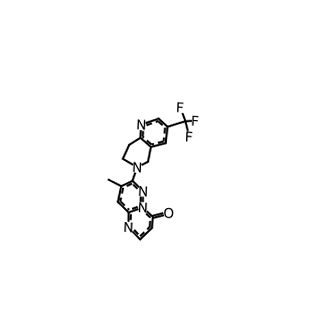 Cc1cc2nccc(=O)n2nc1N1CCc2ncc(C(F)(F)F)cc2C1